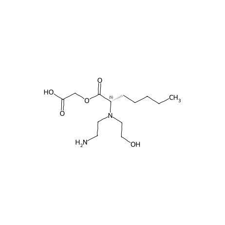 CCCCC[C@@H](C(=O)OCC(=O)O)N(CCN)CCO